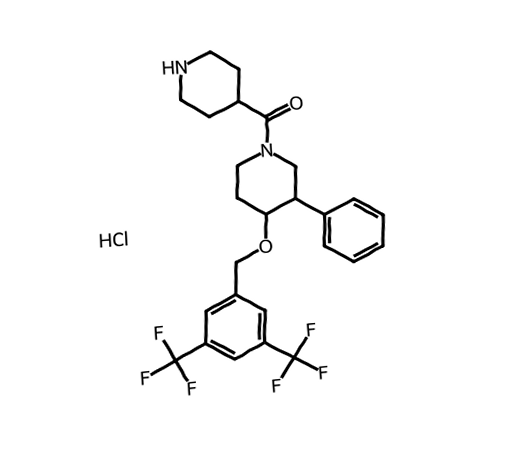 Cl.O=C(C1CCNCC1)N1CCC(OCc2cc(C(F)(F)F)cc(C(F)(F)F)c2)C(c2ccccc2)C1